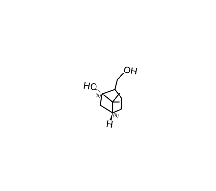 CC1(C)[C@@H]2CCC(CO)[C@]1(O)C2